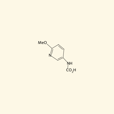 COc1ccc(NC(=O)O)cn1